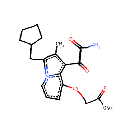 COC(=O)COc1cccn2c(CC3CCCC3)c(C)c(C(=O)C(N)=O)c12